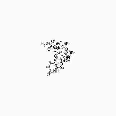 CC(C)[Si]1(C(C)C)O[Si](C(C)C)(C(C)C)[C@]2(O)C(O)(O)[C@H](n3ccc(=O)[nH]c3=S)O[C@]2(COS(C)(=O)=O)C1O